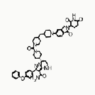 NC(=O)c1c(-c2ccc(Oc3ccccc3)cc2)nn2c1NCC[C@H]2C1CCN(C(=O)N2CCC(CC3CCN(c4ccc5c(c4)CN(C4CCC(=O)NC4=O)C5=O)CC3)CC2)CC1